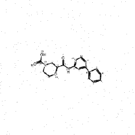 O=C(Nc1cc(-c2ccccc2)ccn1)C1CN(C(=O)O)CCO1